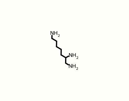 NCCCCCC(N)CN